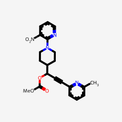 COC(=O)OC(C#Cc1cccc(C)n1)C1CCN(c2ncccc2[N+](=O)[O-])CC1